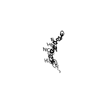 CC(O)C(=O)N1CC[C@H](Oc2ccc(-c3ncnc(Nc4ccc(C5CCN(C6COC6)CC5)c(F)c4)n3)cc2C#N)[C@H](F)C1